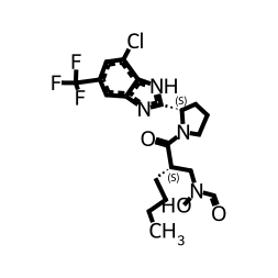 CCCC[C@@H](CN(O)C=O)C(=O)N1CCC[C@H]1c1nc2cc(C(F)(F)F)cc(Cl)c2[nH]1